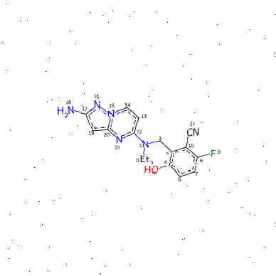 CCN(Cc1c(O)ccc(F)c1C#N)c1ccn2nc(N)cc2n1